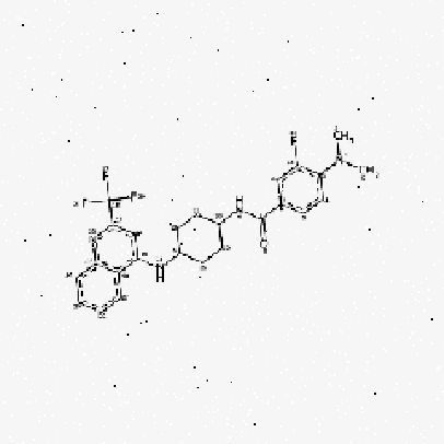 CN(C)c1ccc(C(=O)NC2CCC(Nc3cc(C(F)(F)F)nc4ccccc34)CC2)cc1F